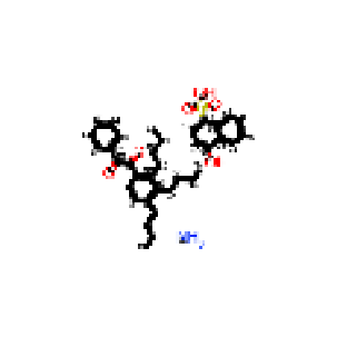 CCCCc1ccc(C(=O)C(=O)c2ccccc2)c(CCCC)c1CCCC.N.O=S(=O)(O)c1ccc(O)c2ccccc12